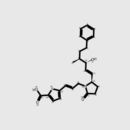 C[C@@H](CCc1ccccc1)[C@H](O)C=C[C@H]1CCC(=O)N1CC=Cc1ccc(C(=O)O)s1